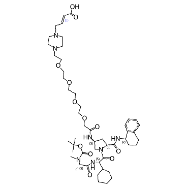 C[C@@H](C(=O)N[C@H](C(=O)N1C[C@@H](NC(=O)COCCOCCOCCOCCN2CCN(C/C=C/C(=O)O)CC2)C[C@H]1C(=O)N[C@@H]1CCCc2ccccc21)C1CCCCC1)N(C)C(=O)OC(C)(C)C